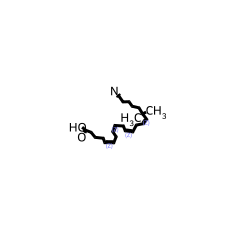 CC(C)(/C=C\C/C=C\C/C=C\C/C=C\CCCC(=O)O)CCCCC#N